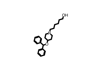 OCCCCCCN1CCC(OC(c2ccccc2)c2ccccc2)CC1